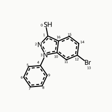 Sc1nn(-c2ccccc2)c2cc(Br)ccc12